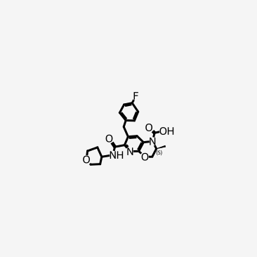 C[C@H]1COc2nc(C(=O)NC3CCOCC3)c(Cc3ccc(F)cc3)cc2N1C(=O)O